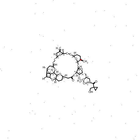 C=C1C[C@@H]2CC[C@@]3(O)C[C@H]4O[C@@]56C[C@@H]4C5O[C@H]4CC[C@H](CC(=O)C[C@@H]5[C@@H](OC)[C@@H](C[C@@H](CNC(=O)C7(CO)CC7)OC)O[C@H]5C[C@H]5O[C@H](CCC5=C)CC[C@@H]1O2)O[C@@H]4[C@@H]6O3